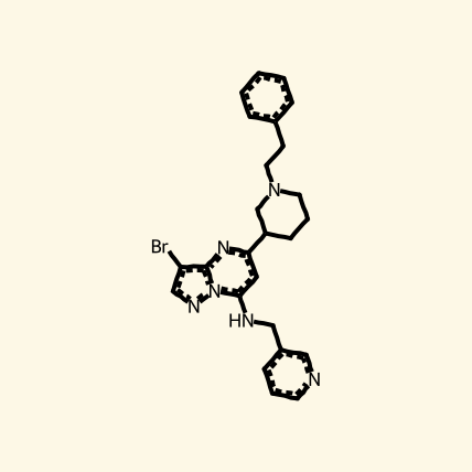 Brc1cnn2c(NCc3cccnc3)cc(C3CCCN(CCc4ccccc4)C3)nc12